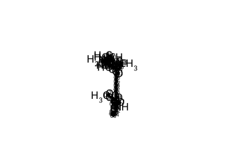 CC(=O)OCC1=C(C(=O)OCCCCCCCCCCC(=O)Oc2ccc(N(C)C)c3c2C(=O)C2=C(O)[C@]4(O)C(=O)C(C(N)=O)=C(O)[C@@H](N(C)C)[C@@H]4C[C@@H]2C3)N2C(=O)[C@@H](NC(=O)Cc3cccs3)[C@H]2SC1